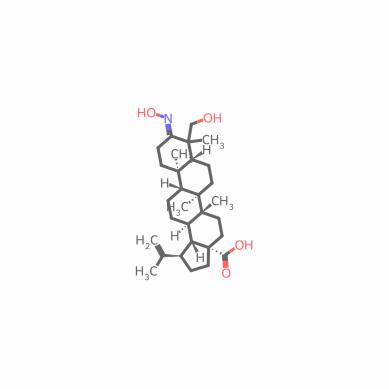 C=C(C)[C@@H]1CC[C@]2(C(=O)O)CC[C@]3(C)[C@H](CC[C@@H]4[C@@]5(C)CCC(=NO)C(C)(CO)[C@@H]5CC[C@]43C)[C@@H]12